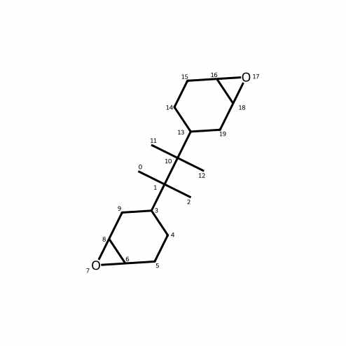 CC(C)(C1CCC2OC2C1)C(C)(C)C1CCC2OC2C1